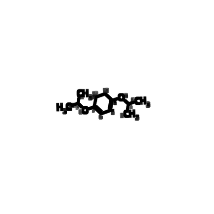 CC(C)OC1=[C]C=C(OC(C)C)[C]C1